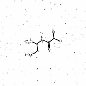 CCC(CC)C(=O)NC(CC(=O)O)C(=O)O